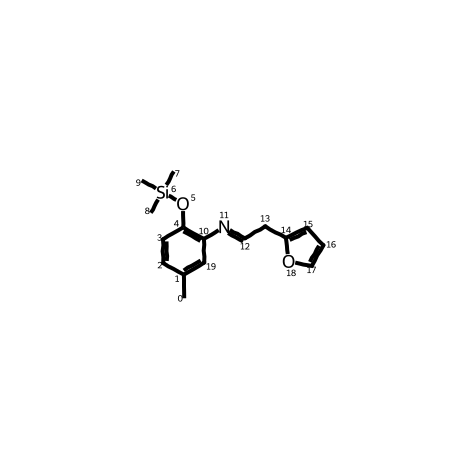 Cc1ccc(O[Si](C)(C)C)c(N=CCc2ccco2)c1